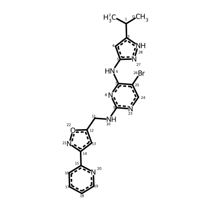 CC(C)c1cc(Nc2nc(NCc3cc(-c4ccccn4)no3)ncc2Br)n[nH]1